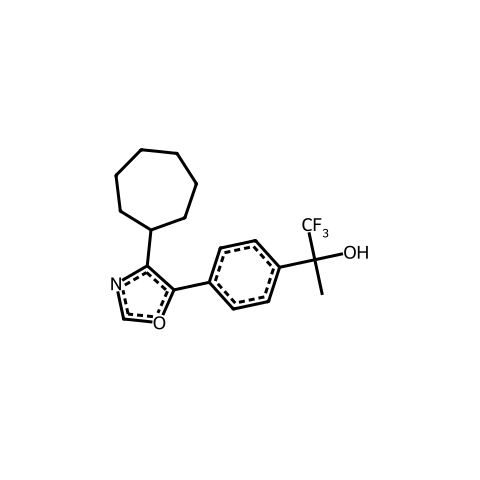 CC(O)(c1ccc(-c2ocnc2C2CCCCCC2)cc1)C(F)(F)F